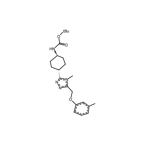 Cc1cccc(OCc2nnc([C@H]3CC[C@H](NC(=O)OC(C)(C)C)CC3)n2C)c1